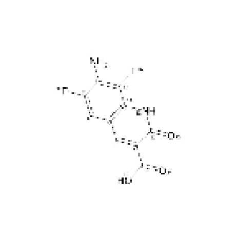 Nc1c(F)cc2cc(C(=O)O)c(=O)[nH]c2c1F